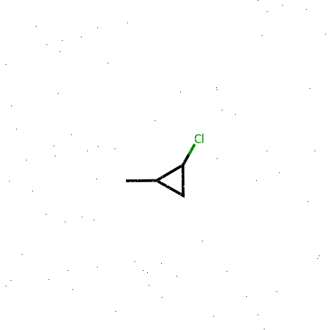 CC1CC1Cl